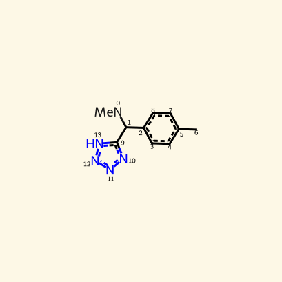 CNC(c1ccc(C)cc1)c1nnn[nH]1